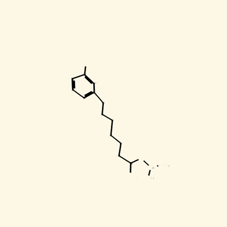 CO[SiH](OC)OC(C)CCCCCCc1cccc(C(F)(F)F)c1